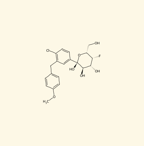 COc1ccc(Cc2cc([C@]3(O)O[C@H](CO)[C@H](F)[C@H](O)[C@H]3O)ccc2Cl)cc1